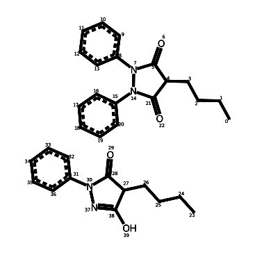 CCCCC1C(=O)N(c2ccccc2)N(c2ccccc2)C1=O.CCCCC1C(=O)N(c2ccccc2)N=C1O